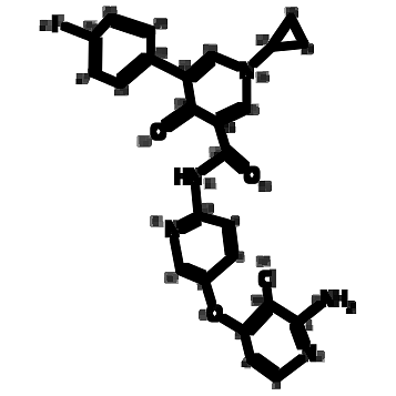 Nc1nccc(Oc2ccc(NC(=O)c3cn(C4CC4)cc(-c4ccc(F)cc4)c3=O)nc2)c1Cl